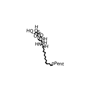 CCCCC/C=C\C/C=C\CCCCCCCCNC(=N)NC1C=CN([C@@H]2O[C@H](CO)[C@@H](O)C2(F)F)C(=O)N1